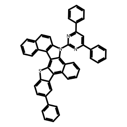 c1ccc(-c2ccc3sc4c(c3c2)c2ccccc2c2c4c3c4ccccc4ccc3n2-c2nc(-c3ccccc3)cc(-c3ccccc3)n2)cc1